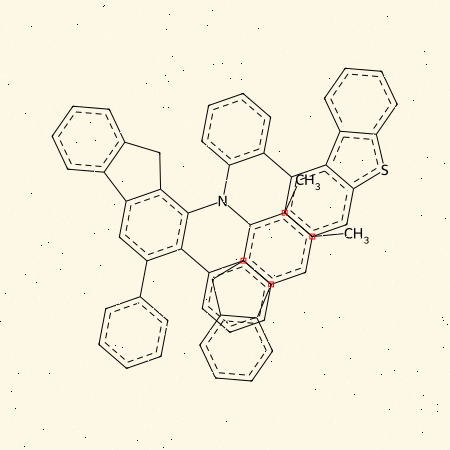 Cc1cc2c(c(N(c3ccccc3-c3cccc4sc5ccccc5c34)c3c4c(cc(-c5ccccc5)c3-c3ccccc3)-c3ccccc3C4)c1C)Cc1ccccc1-2